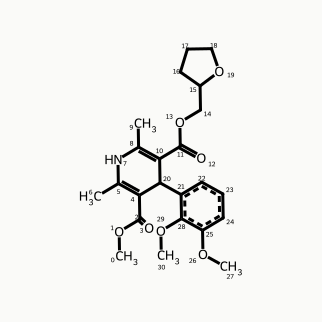 COC(=O)C1=C(C)NC(C)=C(C(=O)OCC2CCCO2)C1c1cccc(OC)c1OC